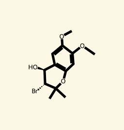 COc1cc2c(cc1OC)[C@H](O)[C@@H](Br)C(C)(C)O2